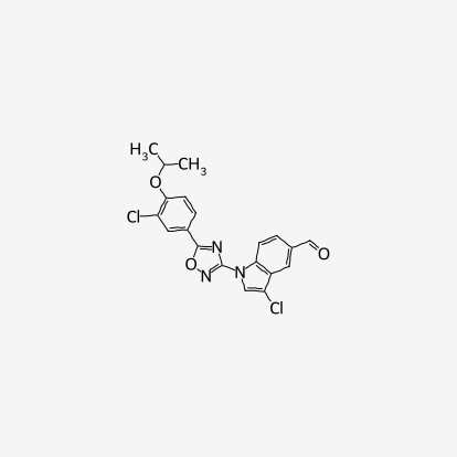 CC(C)Oc1ccc(-c2nc(-n3cc(Cl)c4cc(C=O)ccc43)no2)cc1Cl